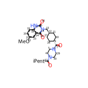 CCCC(C)C(=O)N1CCN(C(=O)[C@H]2CC[C@H](Cn3c(=O)[nH]c4ccc(OC)cc4c3=O)CC2)CC1